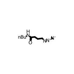 CCCCNC(=O)CCCN=[N+]=[N-]